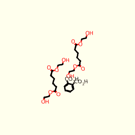 O=C(CCCCC(=O)OCCO)OCCO.O=C(CCCCC(=O)OCCO)OCCO.O=C(O)c1ccccc1C(=O)O